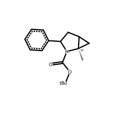 CC(C)(C)OC(=O)N1C(c2ccccc2)CC2C[C@]21C